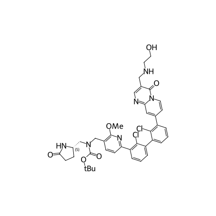 COc1nc(-c2cccc(-c3cccc(-c4ccn5c(=O)c(CNCCO)cnc5c4)c3Cl)c2Cl)ccc1CN(C[C@@H]1CCC(=O)N1)C(=O)OC(C)(C)C